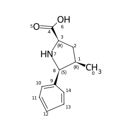 C[C@@H]1C[C@H](C(=O)O)N[C@@H]1c1ccccc1